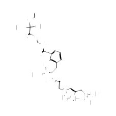 CCOC(C)(C)C(=O)OCOC(=O)c1cccc2c1OB(O)[C@@H](NC(=O)CN1C=C(CN(C)C)NN1)C2